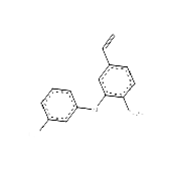 C=Cc1ccc(OC)c(Nc2cccc(C(F)(F)F)c2)c1